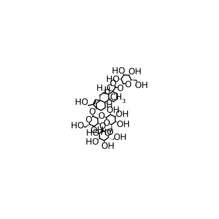 C[C@]12CCC[C@@](C)(C(=O)O[C@@H]3O[C@H](CO)[C@@H](O)[C@H](O)[C@H]3O)[C@@H]1CC[C@@]13C=C(CO)[C@@](O[C@@H]4O[C@H](CO)[C@@H](O)[C@H](O[C@@H]5O[C@H](CO)[C@@H](O)[C@H](O)[C@H]5O)[C@H]4O[C@@H]4O[C@H](CO)[C@@H](O)[C@H](O)[C@H]4O)(CC[C@@H]12)C3